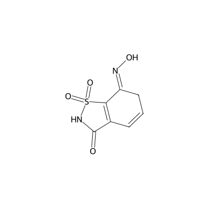 O=C1NS(=O)(=O)C2=C1C=CCC2=NO